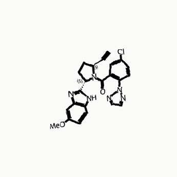 C#C[C@@H]1CC[C@@H](c2nc3cc(OC)ccc3[nH]2)N1C(=O)c1cc(Cl)ccc1-n1nccn1